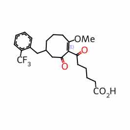 CO/C1=C(\C(=O)CCCCC(=O)O)C(=O)CC(Cc2ccccc2C(F)(F)F)CCC1